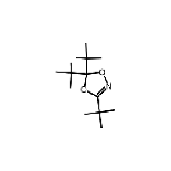 CC(C)(C)C1=NOC(C(C)(C)C)(C(C)(C)C)O1